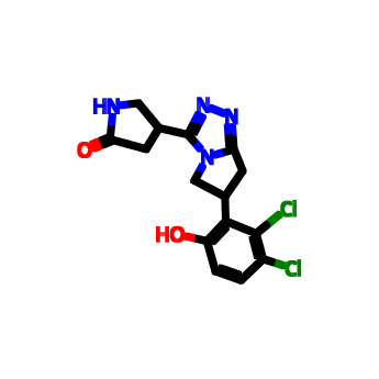 O=C1CC(c2nnc3n2CC(c2c(O)ccc(Cl)c2Cl)C3)CN1